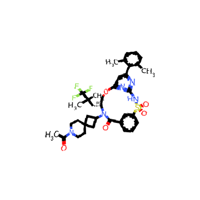 CC(=O)N1CCC2(CC1)CC(N1C(=O)c3cccc(c3)S(=O)(=O)Nc3nc(cc(-c4c(C)cccc4C)n3)OC[C@H]1CC(C)(C)C(F)(F)F)C2